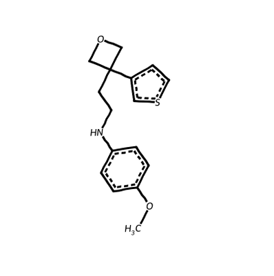 COc1ccc(NCCC2(c3ccsc3)COC2)cc1